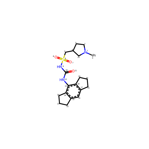 CC(C)N1CCC(CS(=O)(=O)NC(=O)Nc2c3c(cc4c2CCC4)CCC3)C1